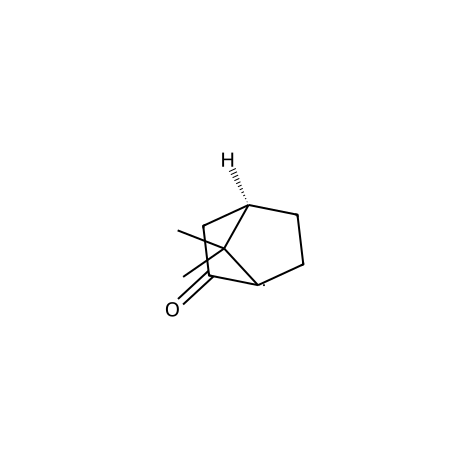 CC1(C)[C]2CC[C@@H]1CC2=O